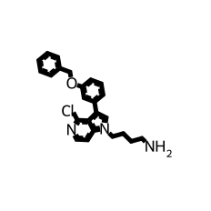 NCCCCn1cc(-c2cccc(OCc3ccccc3)c2)c2c(Cl)nccc21